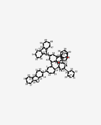 C1=Cc2oc3c(-c4cc(-c5ccc6c(c5)oc5ccccc56)ccc4-c4nc(-c5ccccc5)nc(-c5ccccc5)n4)cc(-n4c5ccccc5c5ccccc54)cc3c2CC1